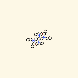 c1ccc2c(c1)Cc1ccccc1N2c1c2ccc(N(c3ccc4ccccc4c3)c3ccc4ccccc4c3)cc2c(N2c3ccccc3Cc3ccccc32)c2ccc(N(c3ccc4ccccc4c3)c3ccc4ccccc4c3)cc12